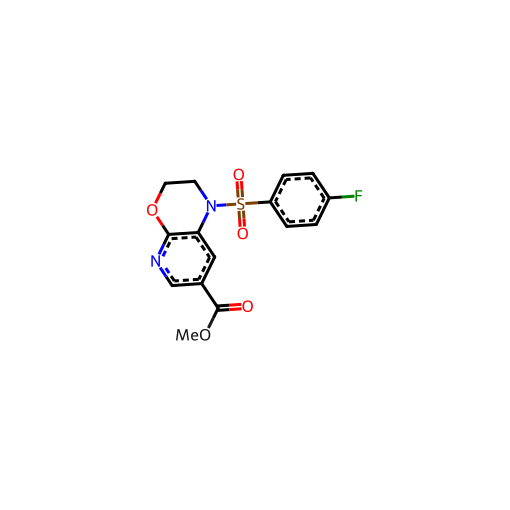 COC(=O)c1cnc2c(c1)N(S(=O)(=O)c1ccc(F)cc1)CCO2